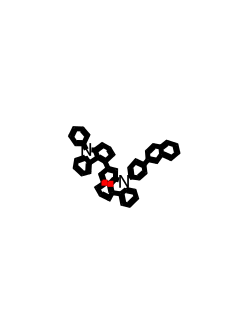 c1ccc(-c2ccccc2N(c2ccc(-c3ccc4ccccc4c3)cc2)c2cccc(-c3cccc4c3c3ccccc3n4-c3ccccc3)c2)cc1